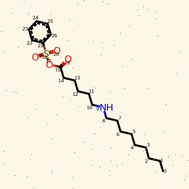 CCCCCCCCCNCCCCCC(=O)OS(=O)(=O)c1ccccc1